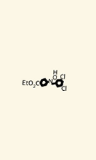 CCOC(=O)c1ccc(/N=C/c2cc(Cl)cc(Cl)c2O)cc1